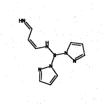 N=C/C=C\NB(n1cccn1)n1cccn1